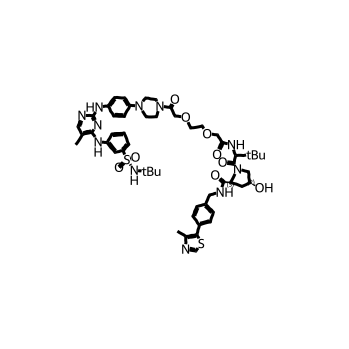 Cc1cnc(Nc2ccc(N3CCN(C(=O)COCCOCC(=O)NC(C(=O)N4C[C@H](O)C[C@H]4C(=O)NCc4ccc(-c5scnc5C)cc4)C(C)(C)C)CC3)cc2)nc1Nc1cccc(S(=O)(=O)NC(C)(C)C)c1